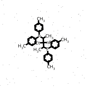 CCCC(CC)(C(C)P(c1ccc(C)cc1)c1ccc(C)cc1)C(C)P(c1ccc(C)cc1)c1ccc(C)cc1